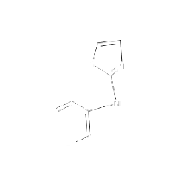 C=C/C(=C\CC)Nc1nccs1